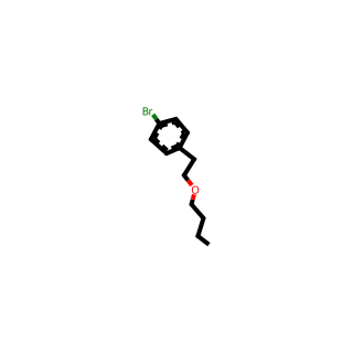 CCCCOCCc1ccc(Br)cc1